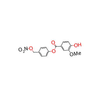 COc1cc(C(=O)Oc2ccc(CO[N+](=O)[O-])cc2)ccc1O